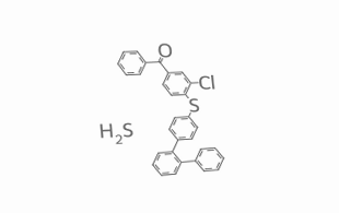 O=C(c1ccccc1)c1ccc(Sc2ccc(-c3ccccc3-c3ccccc3)cc2)c(Cl)c1.S